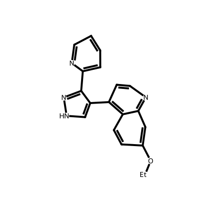 CCOc1ccc2c(-c3c[nH]nc3-c3ccccn3)ccnc2c1